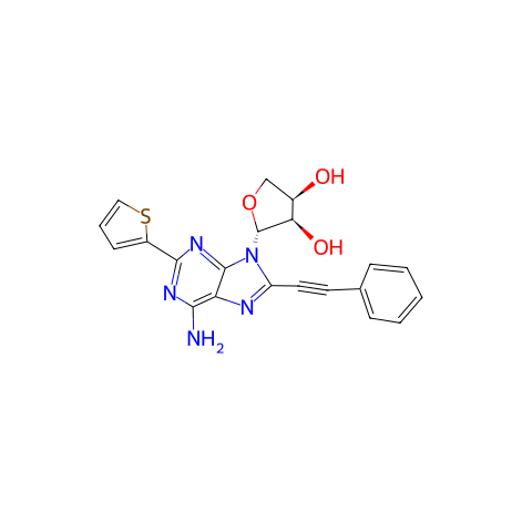 Nc1nc(-c2cccs2)nc2c1nc(C#Cc1ccccc1)n2[C@@H]1OC[C@@H](O)[C@H]1O